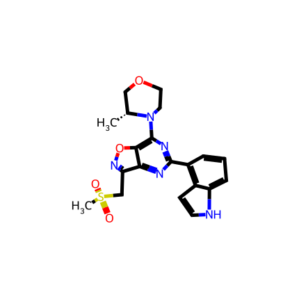 C[C@@H]1COCCN1c1nc(-c2cccc3[nH]ccc23)nc2c(CS(C)(=O)=O)noc12